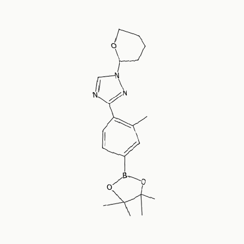 Cc1cc(B2OC(C)(C)C(C)(C)O2)ccc1-c1ncn(C2CCCCO2)n1